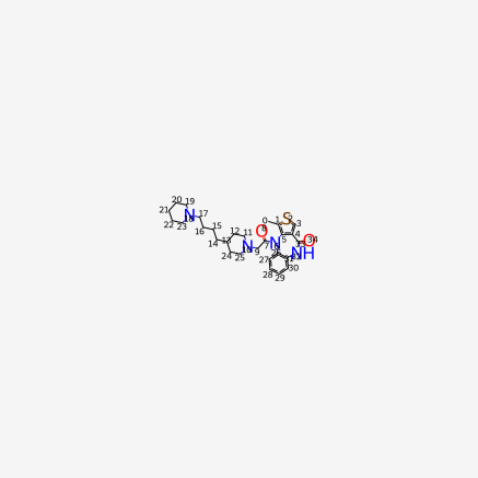 Cc1scc2c1N(C(=O)CN1CCC(CCCCN3CCCCC3)CC1)c1ccccc1NC2=O